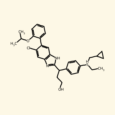 CC[SH](CC1CC1)c1ccc(C(CCO)c2nc3cc(Cl)c(-c4ccccc4OC(C)C)cc3[nH]2)cc1